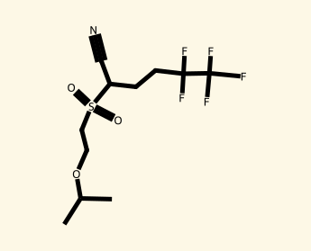 CC(C)OCCS(=O)(=O)C(C#N)CCC(F)(F)C(F)(F)F